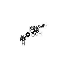 CC(C)CSc1nc(O)c(C(=O)Nc2ccc(-c3c[nH]nn3)cc2)c(=O)[nH]1